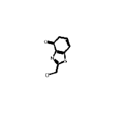 O=C1CC=Cc2sc(CCl)nc21